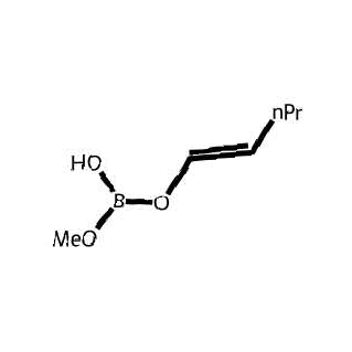 CCCC=COB(O)OC